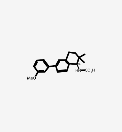 COc1cccc(-c2ccc3c(c2)CCC(C)(C)[C@H]3NC(=O)O)c1